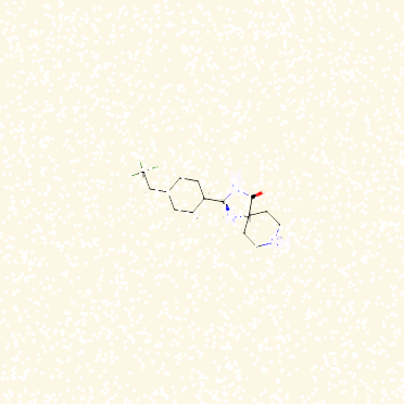 O=C1NC(C2CCC(CC(F)(F)F)CC2)=NC12CCNCC2